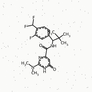 CN(C)c1nc(C(=O)NC(c2ccc(C(F)F)c(F)c2)C(C)(C)C)cc(=O)[nH]1